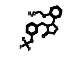 CCOc1ccccc1C1SCC(=O)N1Cc1cccc(OC(F)(F)F)c1